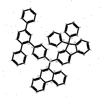 c1ccc(-c2ccc(-c3ccccc3)c(-c3ccc(N(c4ccc5c(c4)C(c4ccccc4)(c4ccccc4)c4ccccc4-5)c4cc5ccccc5c5ccccc45)cc3)c2)cc1